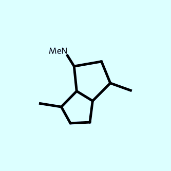 CNC1CC(C)C2CCC(C)C12